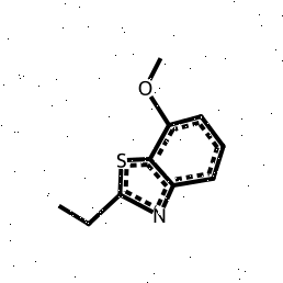 CCc1nc2cccc(OC)c2s1